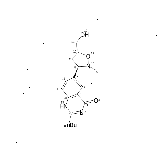 CCCCc1nc(=O)c2cc([C@H]3C[C@H](CO)ON3C)ccc2[nH]1